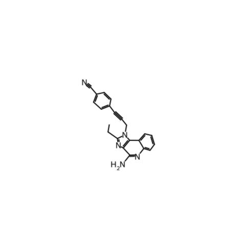 CCc1nc2c(N)nc3ccccc3c2n1CC#Cc1ccc(C#N)cc1